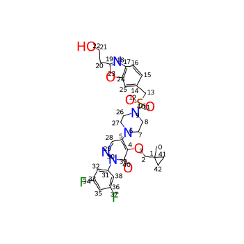 CC1(COc2c(N3CCN(S(=O)(=O)Cc4ccc5nc(CCO)oc5c4)CC3)cnn(-c3cc(F)cc(F)c3)c2=O)CC1